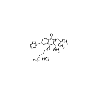 CCCCOc1c(CN)n(CC(C)C)c(=O)c2ccc(-c3ccco3)cc12.Cl